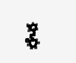 CN1CCCC(SSN2CCCCCC2=O)C1